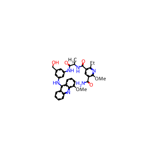 CCc1nc(OC)c(C(N)=O)cc1C(=O)NC(C)C(=O)Nc1cc(CO)cc(Nc2c3ccccc3nc3c(OC)cccc23)c1